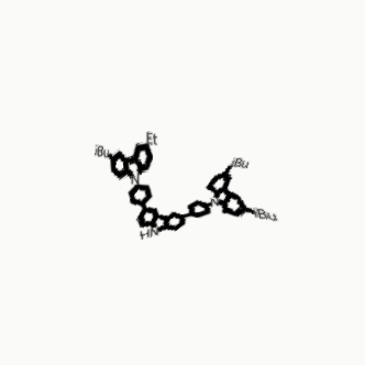 CCc1ccc2c(c1)c1cc(C(C)CC)ccc1n2-c1ccc(-c2ccc3[nH]c4ccc(-c5ccc(-n6c7ccc(C(C)CC)cc7c7cc(C(C)CC)ccc76)cc5)cc4c3c2)cc1